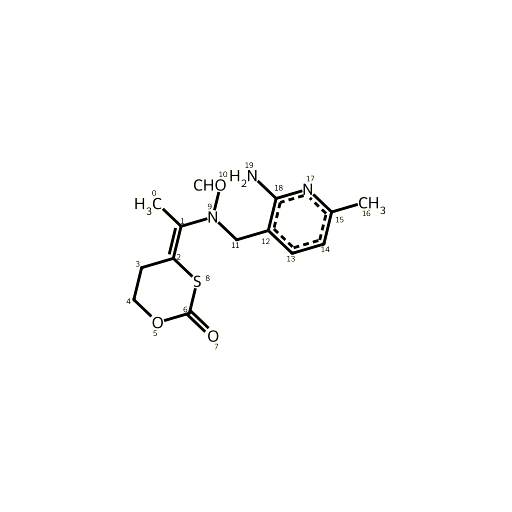 C/C(=C1\CCOC(=O)S1)N(C=O)Cc1ccc(C)nc1N